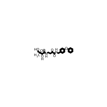 CC(C)(CO)[C@@H](O)C(=O)NCCC(=O)C(=O)NCc1ccc(Oc2ccccc2)cc1